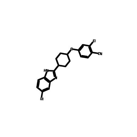 CCc1ccc2[nH]c(C3CCC(Oc4ccc(C#N)c(Cl)c4)CC3)nc2c1